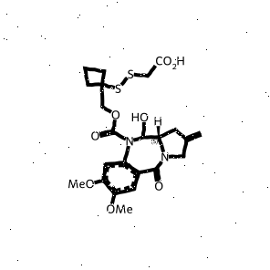 C=C1C[C@H]2C(O)N(C(=O)OCC3(SSCC(=O)O)CCC3)c3cc(OC)c(OC)cc3C(=O)N2C1